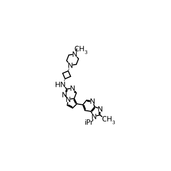 Cc1nc2ncc(-c3ccn4nc(N[C@H]5C[C@@H](N6CCN(C)CC6)C5)ncc34)cc2n1C(C)C